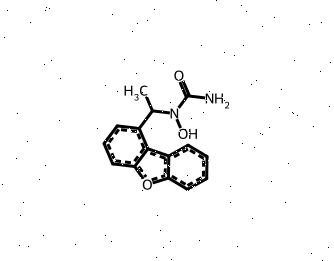 CC(c1cccc2oc3ccccc3c12)N(O)C(N)=O